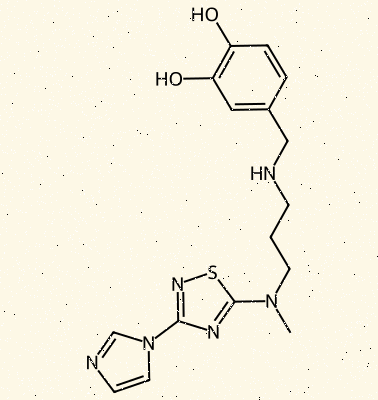 CN(CCCNCc1ccc(O)c(O)c1)c1nc(-n2ccnc2)ns1